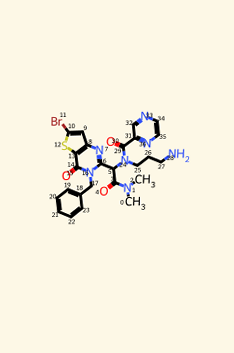 CN(C)C(=O)C(c1nc2cc(Br)sc2c(=O)n1Cc1ccccc1)N(CCCN)C(=O)c1cnccn1